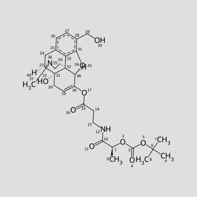 C[C@H](OC(=O)OC(C)(C)C)C(=O)NCCC(=O)OC1=CC[C@@]2(O)[C@H]3Cc4ccc(CO)c5c4[C@@]2(CCN3C)[C@H]1O5